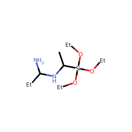 CCO[Si](OCC)(OCC)C(C)NC(N)CC